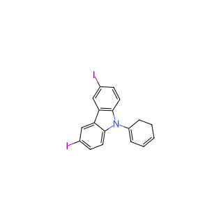 Ic1ccc2c(c1)c1cc(I)ccc1n2C1=CC=CCC1